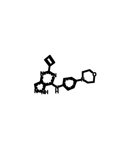 C1=CC(c2nc(Nc3ccc(N4CCOCC4)cc3)c3[nH]ncc3n2)=C1